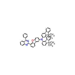 CC1(C)c2ccccc2-c2ccc(N(c3ccc4oc5c(-c6nc(-c7ccccc7)c7ccccc7n6)cccc5c4c3)c3cccc4c3-c3ccccc3C4(C)C)cc21